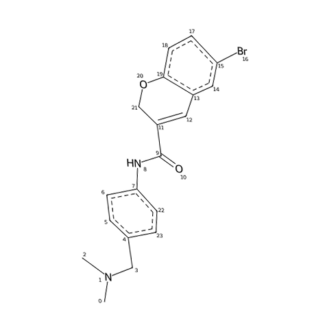 CN(C)Cc1ccc(NC(=O)C2=Cc3cc(Br)ccc3OC2)cc1